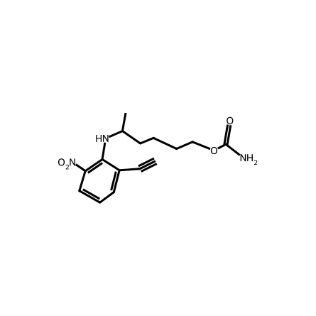 C#Cc1cccc([N+](=O)[O-])c1NC(C)CCCCOC(N)=O